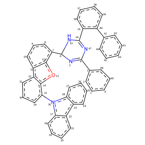 c1ccc(C2=NC(c3cccc4c3oc3c(-n5c6ccccc6c6ccccc65)cccc34)NC(c3ccccc3-c3ccccc3)=N2)cc1